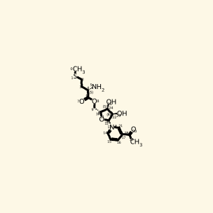 CSCC[C@H](N)C(=O)OC[C@H]1O[C@@H]([n+]2cccc(C(C)=O)c2)[C@H](O)[C@@H]1O